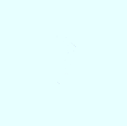 C=c1[nH]c2ccc(F)cc2/c1=C1\OCc2cc(OCCN3CCOCC3)ccc21